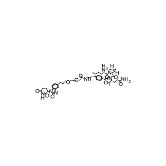 CCCC[C@H](N)C(=O)N1C[C@H]2C[C@H]2[C@H]1C(=O)N[C@@H](CCC(N)=O)[C@@H](C)OCc1ccc(CCCNC(=O)COCCOCCCc2ccc3c(c2)n(C)c(=O)n3C2CCC(=O)NC2=O)cc1